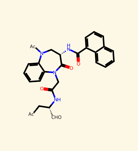 CC(=O)C[C@@H](C=O)NC(=O)CN1C(=O)[C@@H](NC(=O)c2cccc3ccccc23)CN(C(C)=O)c2ccccc21